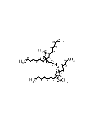 CCCCCCC[Si](CCCCCCC)(OC)OC.CCCCCCC[Si](CCCCCCC)(OCC)OCC